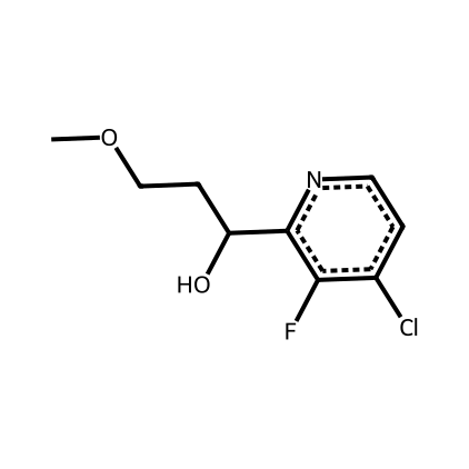 COCCC(O)c1nccc(Cl)c1F